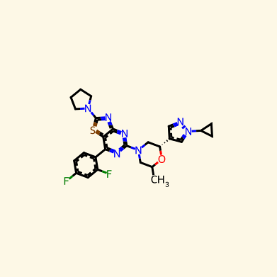 CC1CN(c2nc(-c3ccc(F)cc3F)c3sc(N4CCCC4)nc3n2)C[C@H](c2cnn(C3CC3)c2)O1